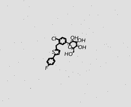 OC[C@H]1O[C@@H](c2ccc(Cl)c(Cc3ccc(-c4ccc(F)cc4)s3)c2)[C@H](O)[C@@H](O)[C@@H]1O